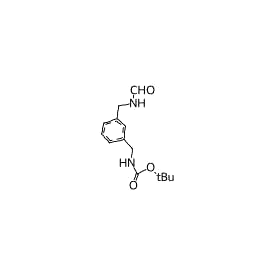 CC(C)(C)OC(=O)NCc1cccc(CNC=O)c1